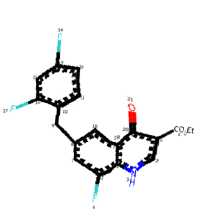 CCOC(=O)c1c[nH]c2c(F)cc(Cc3ccc(F)cc3F)cc2c1=O